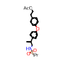 CC(=O)OCCc1ccc(Oc2ccc(C(C)CNS(=O)(=O)C(C)C)cc2)cc1